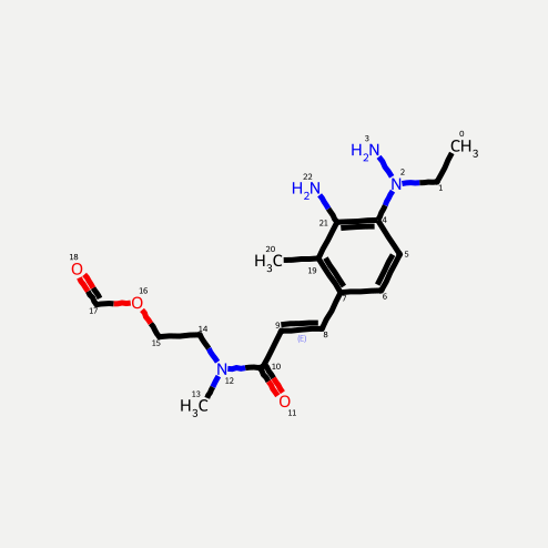 CCN(N)c1ccc(/C=C/C(=O)N(C)CCOC=O)c(C)c1N